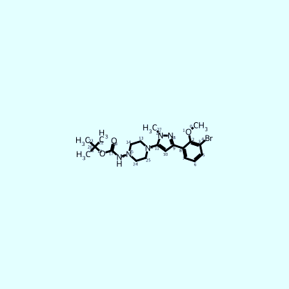 COc1c(Br)cccc1-c1cc(N2CCN(NC(=O)OC(C)(C)C)CC2)n(C)n1